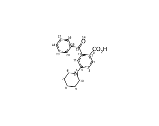 O=C(O)c1ccc(N2CCCCC2)cc1C(=O)c1ccccc1